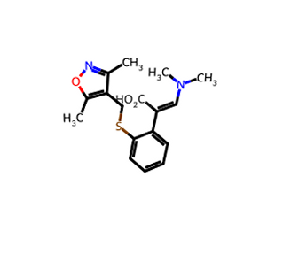 Cc1noc(C)c1CSc1ccccc1C(=CN(C)C)C(=O)O